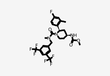 COC(=O)N[C@H]1CCN(C(=O)N(C)Cc2cc(C(F)(F)F)cc(C(F)(F)F)c2)[C@@H](c2ccc(F)cc2C)C1